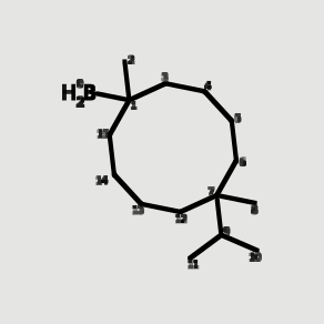 BC1(C)CCCCC(C)(C(C)C)CCCC1